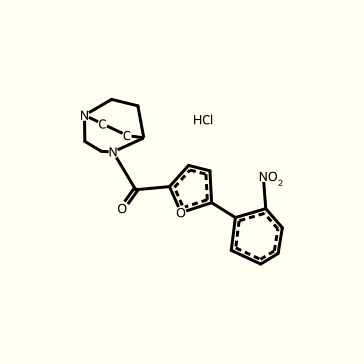 Cl.O=C(c1ccc(-c2ccccc2[N+](=O)[O-])o1)N1CCN2CCC1CC2